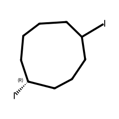 IC1CCCC[C@@H](I)CCC1